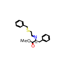 COC(=O)[C@H](Cc1ccccc1)N=CCSCc1ccccc1